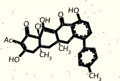 CC(=O)C1=C(O)C[C@]2(C)C[C@]3(C)Cc4c(-c5ccc(C)cc5)ccc(O)c4C(=O)C3=C(O)[C@@]2(C)C1=O